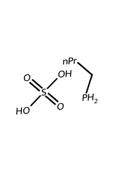 CCCCP.O=S(=O)(O)O